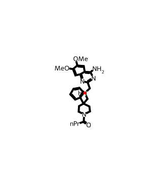 CCCC(=O)N1CCC(CNCc2nc(N)c3cc(OC)c(OC)cc3n2)(c2ccccc2)CC1